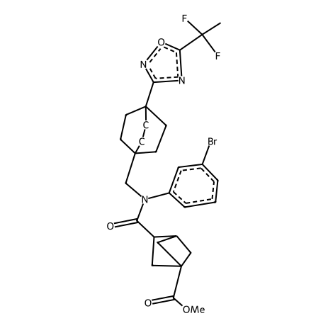 COC(=O)C12CC(C1)C(C(=O)N(CC13CCC(c4noc(C(C)(F)F)n4)(CC1)CC3)c1cccc(Br)c1)C2